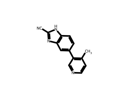 Cc1ccncc1-c1ccc2[nH]c(C#N)nc2c1